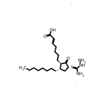 CCCCCCCC[C@H]1CCC(=O)[C@@H]1CCCCC=CC(=O)O.NNC(N)=S